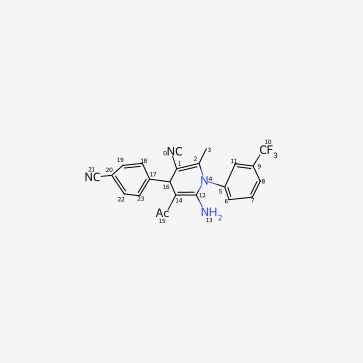 [C-]#[N+]C1=C(C)N(c2cccc(C(F)(F)F)c2)C(N)=C(C(C)=O)C1c1ccc(C#N)cc1